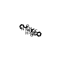 Cc1nc(NC(=O)c2ccccn2)sc1S(=O)(=O)Cc1ccccc1C(F)(F)F